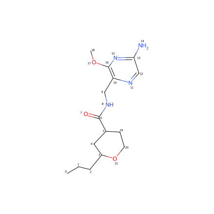 CCCC1CC(C(=O)NCc2ncc(N)nc2OC)CCO1